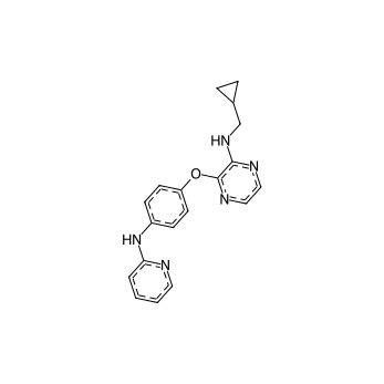 c1ccc(Nc2ccc(Oc3nccnc3NCC3CC3)cc2)nc1